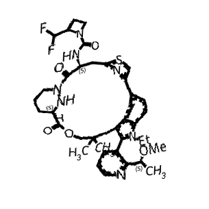 CCn1c(-c2cccnc2[C@H](C)OC)c2c3cc(ccc31)-c1csc(n1)C[C@H](NC(=O)N1CCC1C(F)F)C(=O)N1CCC[C@H](N1)C(=O)OCC(C)(C)C2